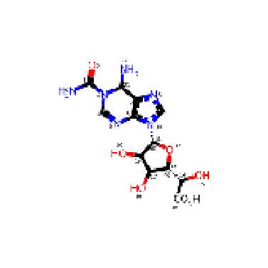 NC(=O)N1C=Nc2c(ncn2[C@@H]2O[C@H](C(O)C(=O)O)C(O)C2O)C1N